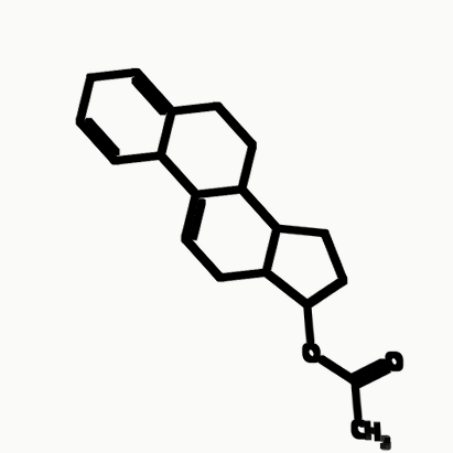 CC(=O)OC1CCC2C3CCC4=CCC=CC4C3=CCC12